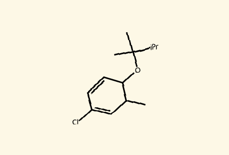 CC1C=C(Cl)C=CC1OC(C)(C)C(C)C